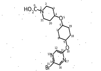 O=C(O)N1CCC(OC2CCC(Oc3cnc(Br)cn3)CC2)CC1